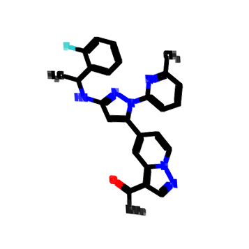 CNC(=O)c1cnn2ccc(-c3cc(NC(C)c4ccccc4F)nn3-c3cccc(C)n3)cc12